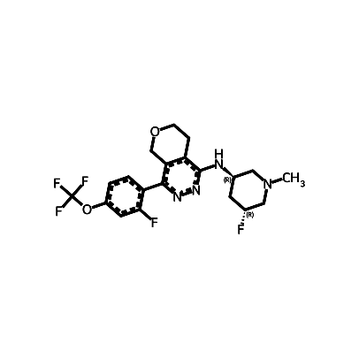 CN1C[C@H](F)C[C@@H](Nc2nnc(-c3ccc(OC(F)(F)F)cc3F)c3c2CCOC3)C1